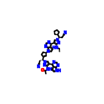 CCNc1nn([C@H](CC#N)C2CCCC2)cc1-c1ncnc2c1ccn2C1C=C([C@@H](CC#N)n2cc(-c3ncnc4[nH]ccc34)c(NC(C)=O)n2)CC1